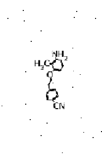 Cc1c(N)cccc1OCCc1ccc(C#N)cc1